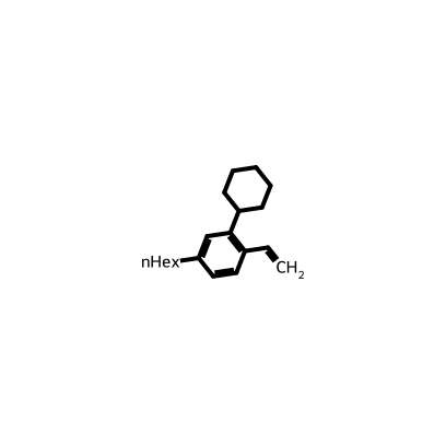 C=Cc1ccc(CCCCCC)cc1C1CCCCC1